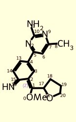 CO/C(=C1/C=C(c2cc(C)nc(N)n2)C=CC1=N)C1CCCO1